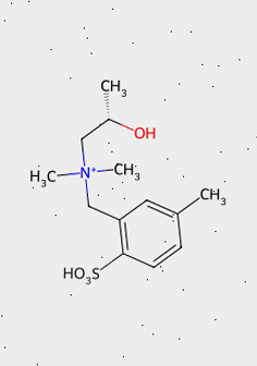 Cc1ccc(S(=O)(=O)O)c(C[N+](C)(C)C[C@H](C)O)c1